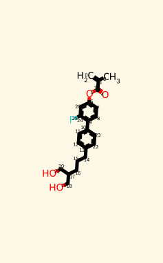 C=C(C)C(=O)Oc1ccc(-c2ccc(CCCC(CO)CO)cc2)c(F)c1